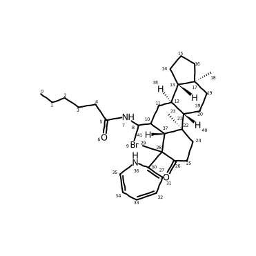 CCCCCC(=O)NC(Br)C1C[C@H]2[C@@H]3CCC[C@@]3(C)CC[C@@H]2[C@@]2(C)CCC(=O)C(C)(C3=CC=CC=CN3)[C@H]12